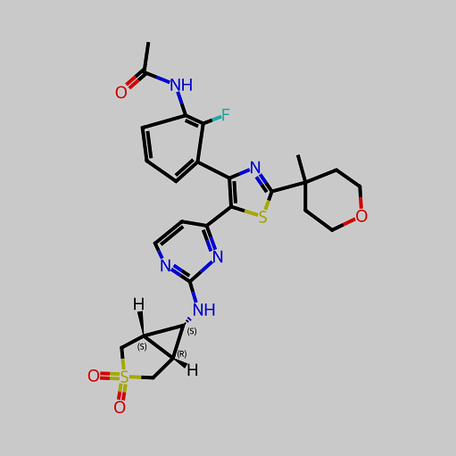 CC(=O)Nc1cccc(-c2nc(C3(C)CCOCC3)sc2-c2ccnc(N[C@@H]3[C@@H]4CS(=O)(=O)C[C@@H]43)n2)c1F